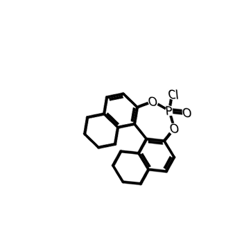 O=P1(Cl)Oc2ccc3c(c2-c2c(ccc4c2CCCC4)O1)CCCC3